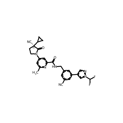 Cc1cc(N2CC[C@@](C#N)(C3CC3)C2=O)cc(C(=O)NCc2cc(C#N)cc(-c3cnn(C(F)F)c3)c2)n1